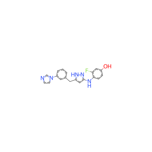 Oc1ccc(Nc2cc(Cc3cccc(-n4ccnc4)c3)[nH]n2)c(F)c1